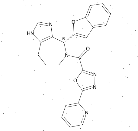 O=C(c1nnc(-c2ccccn2)o1)N1CCCc2[nH]cnc2[C@@H]1c1cc2ccccc2o1